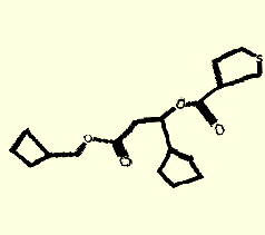 O=C(CC(OC(=O)C1CCSC1)C1CCCC1)OCC1CCC1